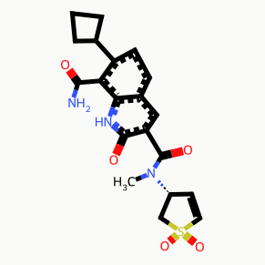 CN(C(=O)c1cc2ccc(C3CCC3)c(C(N)=O)c2[nH]c1=O)[C@@H]1C=CS(=O)(=O)C1